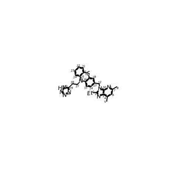 CCc1nc2c(C)cc(C)nc2n1Cc1ccc2c(c1)Sc1ccccc1N2CCc1nnn[nH]1